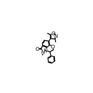 Cc1noc(C)c1-c1ccc2c(=O)n(C)n3c2c1OCC3c1ccccc1